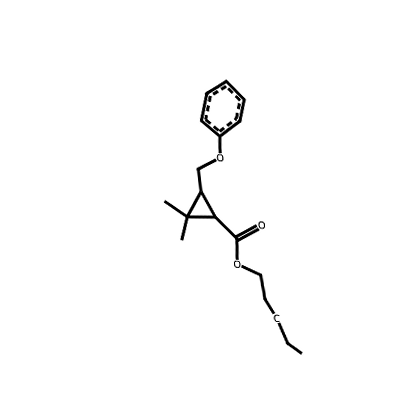 CCCCCOC(=O)C1C(COc2ccccc2)C1(C)C